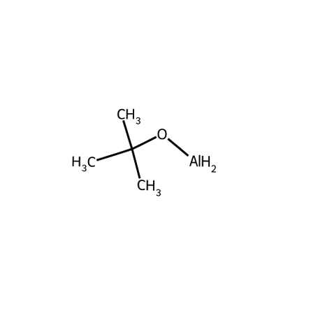 CC(C)(C)[O][AlH2]